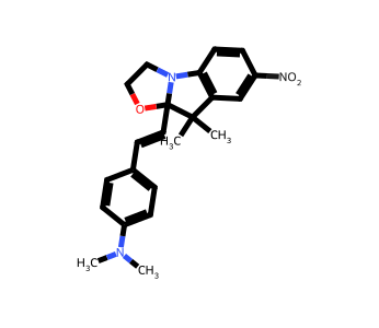 CN(C)c1ccc(C=CC23OCCN2c2ccc([N+](=O)[O-])cc2C3(C)C)cc1